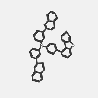 c1cc(-c2ccc3ccccc3c2)cc(N(c2ccc(-c3cccc4sc5ccccc5c34)cc2)c2cccc(-c3ccc4ccccc4c3)c2)c1